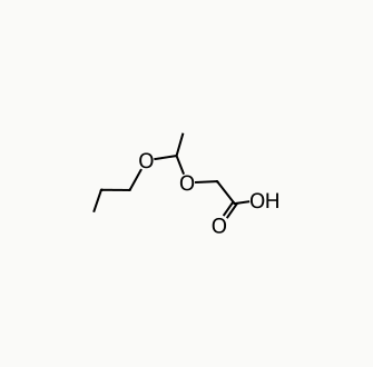 CCCOC(C)OCC(=O)O